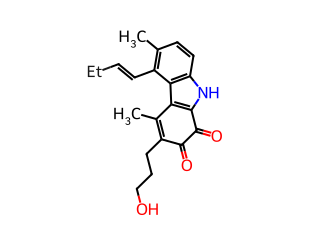 CCC=Cc1c(C)ccc2[nH]c3c(c12)C(C)=C(CCCO)C(=O)C3=O